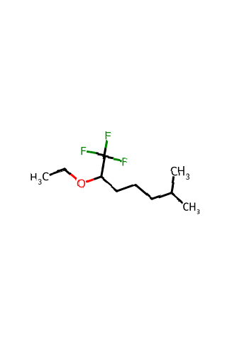 CCOC(CCCC(C)C)C(F)(F)F